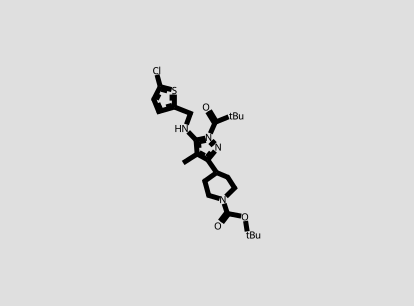 Cc1c(C2CCN(C(=O)OC(C)(C)C)CC2)nn(C(=O)C(C)(C)C)c1NCc1ccc(Cl)s1